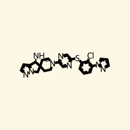 N[C@@H]1c2ccnn2CC12CCN(c1cnc(Sc3cccc(-n4cccn4)c3Cl)cn1)CC2